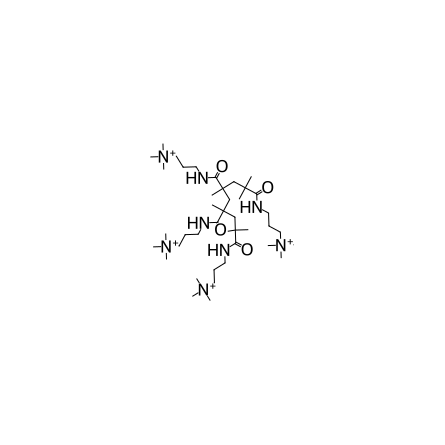 CC(C)(CC(C)(CC(C)(CC(C)(C)C(=O)NCCC[N+](C)(C)C)C(=O)NCCC[N+](C)(C)C)C(=O)NCCC[N+](C)(C)C)C(=O)NCCC[N+](C)(C)C